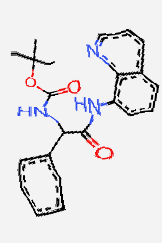 CC(C)(C)OC(=O)NC(C(=O)Nc1cccc2cccnc12)c1ccccc1